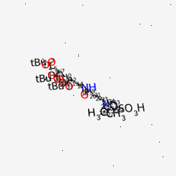 CC(C)(C)OC(=O)CC[C@H](CC(=O)C[C@H](CCCCNC(=O)CCCCC[N+]1=CC(C)(C)c2cc(S(=O)(=O)O)ccc21)C(=O)OC(C)(C)C)C(=O)OC(C)(C)C